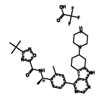 Cc1cc(-c2ncnc3[nH]c4c(c23)CCC(N2CCNCC2)C4)ccc1[C@@H](C)NC(=O)c1nc(C(C)(C)C)no1.O=C(O)C(F)(F)F